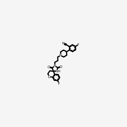 N#Cc1cc(F)ccc1C1CCN(CCCN2C(=O)NC3(CCOc4cc(F)ccc43)C2=O)CC1